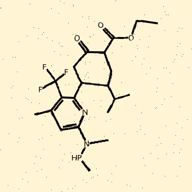 CCOC(=O)C1CC(C(C)C)C(c2nc(N(C)PC)cc(C)c2C(F)(F)F)CC1=O